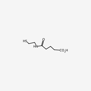 O=C(O)CCCC(=O)NCCS